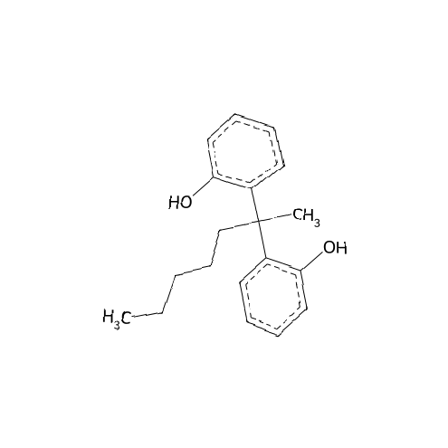 CCCCCC(C)(c1ccccc1O)c1ccccc1O